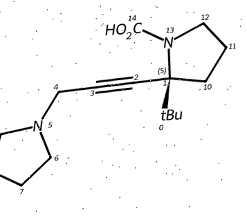 CC(C)(C)[C@]1(C#CCN2CCCC2)CCCN1C(=O)O